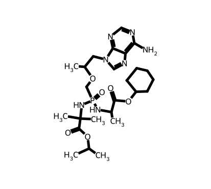 CC(C)OC(=O)C(C)(C)NP(=O)(COC(C)Cn1cnc2c(N)ncnc21)NC(C)C(=O)OC1CCCCC1